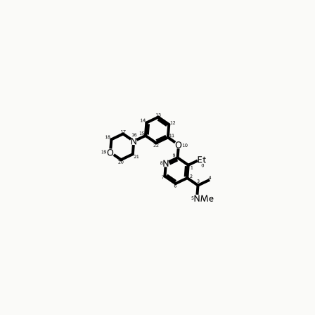 CCc1c(C(C)NC)ccnc1Oc1cccc(N2CCOCC2)c1